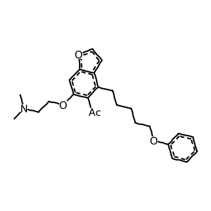 CC(=O)c1c(OCCN(C)C)cc2occc2c1CCCCCOc1ccccc1